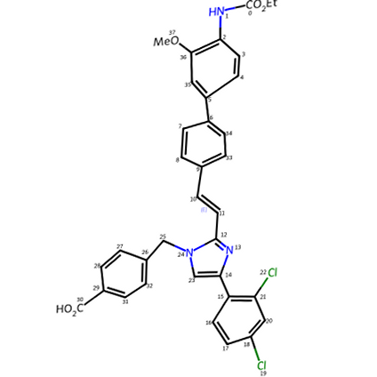 CCOC(=O)Nc1ccc(-c2ccc(/C=C/c3nc(-c4ccc(Cl)cc4Cl)cn3Cc3ccc(C(=O)O)cc3)cc2)cc1OC